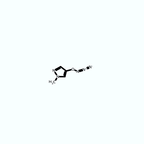 Cn1cc(ON=[N+]=[N-])cn1